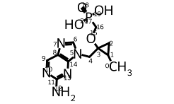 CC1CC1(Cn1cnc2cnc(N)nc21)OCP(=O)(O)O